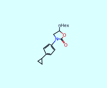 CCCCCCC1CN(c2ccc(C3CC3)cc2)C(=O)O1